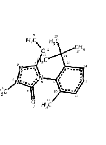 COc1nn(C)c(=O)n1-c1c(C)cccc1C(C)(C)C